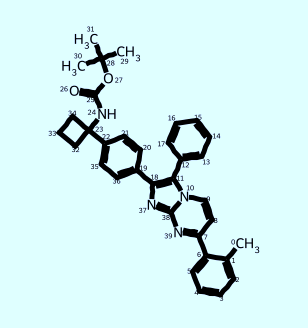 Cc1ccccc1-c1ccn2c(-c3ccccc3)c(-c3ccc(C4(NC(=O)OC(C)(C)C)CCC4)cc3)nc2n1